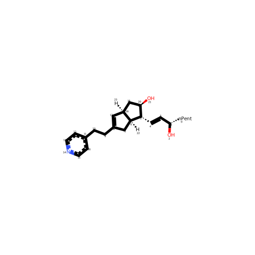 CCCCC[C@H](O)/C=C/[C@@H]1[C@H]2CC(CCc3ccncc3)=C[C@H]2C[C@H]1O